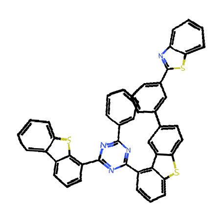 c1ccc(-c2nc(-c3cccc4c3sc3ccccc34)nc(-c3cccc4sc5ccc(-c6cccc(-c7nc8ccccc8s7)c6)cc5c34)n2)cc1